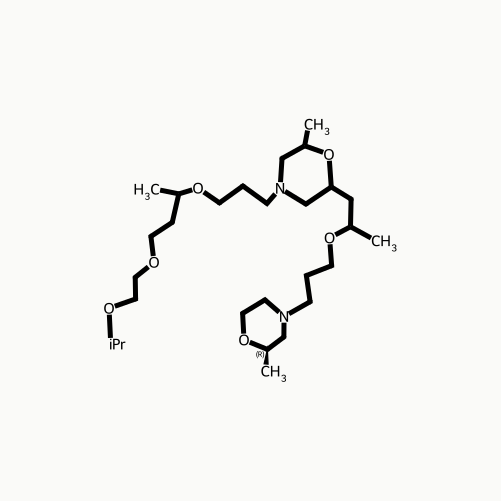 CC(C)OCCOCCC(C)OCCCN1CC(C)OC(CC(C)OCCCN2CCO[C@H](C)C2)C1